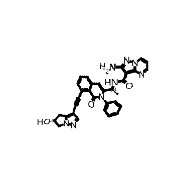 C[C@H](NC(=O)c1c(N)nn2cccnc12)c1cc2cccc(C#Cc3cnn4c3C[C@@H](O)C4)c2c(=O)n1-c1ccccc1